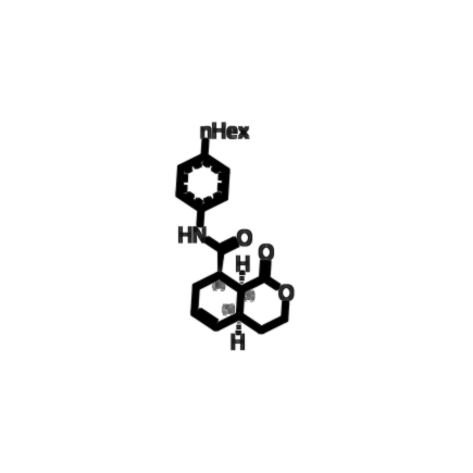 CCCCCCc1ccc(NC(=O)[C@@H]2CC=C[C@@H]3CCOC(=O)[C@@H]32)cc1